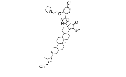 C=C(CC1CCC2(C)C(CCC3C4CCC5(c6nnc(-c7ccc(Cl)cc7OCCN7CCCC7)o6)CC(=O)C(C(C)C)=C5C4CCC32)C1C)C1CC(C=O)C1C